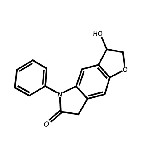 O=C1Cc2cc3c(cc2N1c1ccccc1)C(O)CO3